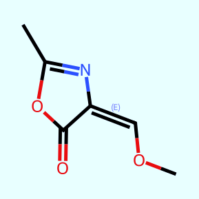 CO/C=C1/N=C(C)OC1=O